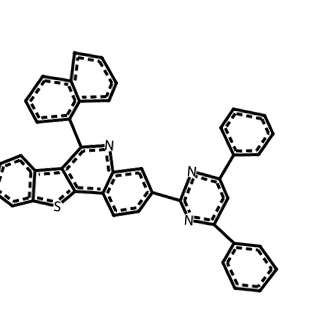 c1ccc(-c2cc(-c3ccccc3)nc(-c3ccc4c(c3)nc(-c3cccc5ccccc35)c3c5ccccc5sc43)n2)cc1